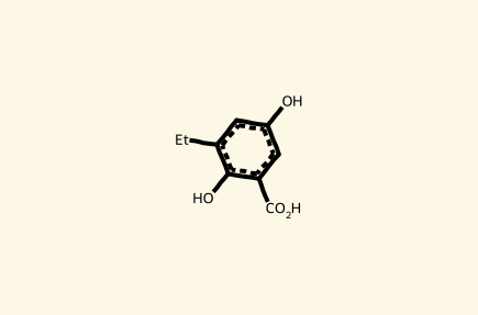 CCc1cc(O)cc(C(=O)O)c1O